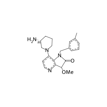 COC1C(=O)N(Cc2cccc(C)c2)c2c(N3CCC[C@@H](N)C3)ccnc21